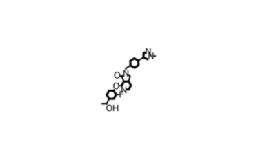 CC(O)c1ccc(Oc2nccc3c2C(=O)N(Cc2ccc(-c4cnn(C)c4)cc2)C3)c(F)c1